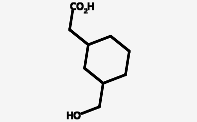 O=C(O)CC1CCCC(CO)C1